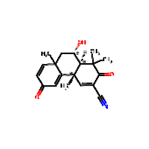 CC12C=CC(=O)C=C1[C@@]1(C)C=C(C#N)C(=O)C(C)(C)[C@@H]1[C@@H](O)C2